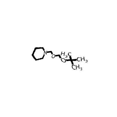 CC(C)(C)OCOCN1CCCCC1